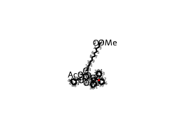 COC(=O)CCCCCCCCCCCO[C@@H]1O[C@H](COC(c2ccccc2)(c2ccccc2)c2ccccc2)[C@@H](OC(C)=O)[C@H](OCc2ccccc2)[C@H]1OC(C)=O